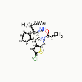 C=CC(=O)N1Cc2sc(Cl)cc2[C@@H](c2ccccc2/C(C=N)=C(\C)NC)C1